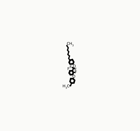 CCCCCCCCc1ccc(OC(F)(F)c2c(F)c[c]c(Oc3ccc(CC)cc3)c2F)cc1